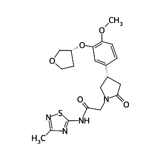 COc1ccc([C@@H]2CC(=O)N(CC(=O)Nc3nc(C)ns3)C2)cc1O[C@@H]1CCOC1